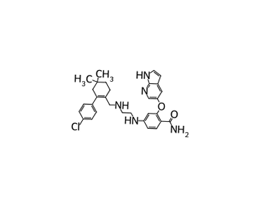 CC1(C)CCC(CNCCNc2ccc(C(N)=O)c(Oc3cnc4[nH]ccc4c3)c2)=C(c2ccc(Cl)cc2)C1